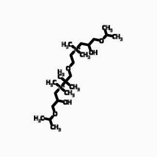 CC(C)OCC(O)C[N+](C)(C)CCOCC(C)(C)[N+](C)(C)CC(O)COC(C)C